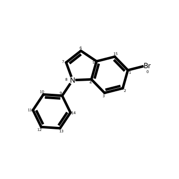 Brc1ccc2c(ccn2-c2ccccc2)c1